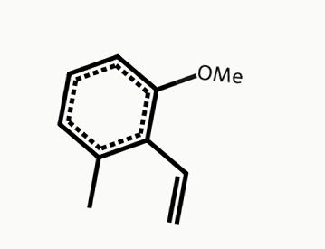 C=Cc1c(C)cccc1OC